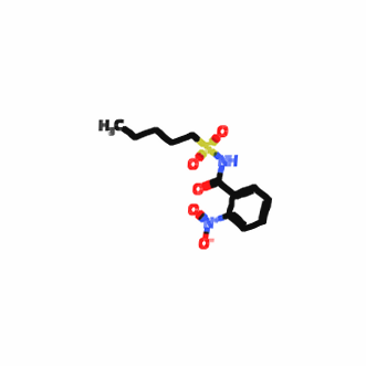 CCCCCS(=O)(=O)NC(=O)c1ccccc1[N+](=O)[O-]